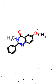 COc1ccc2nc(-c3ccccc3)n(C)c(=O)c2c1